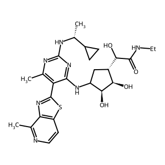 CCNC(=O)C(O)[C@H]1CC(Nc2nc(N[C@H](C)C3CC3)nc(C)c2-c2nc3c(C)nccc3s2)[C@H](O)[C@@H]1O